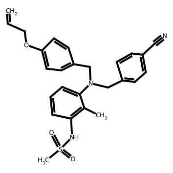 C=CCOc1ccc(CN(Cc2ccc(C#N)cc2)c2cccc(NS(C)(=O)=O)c2C)cc1